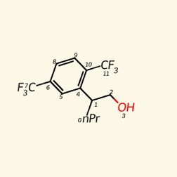 CCCC(CO)c1cc(C(F)(F)F)ccc1C(F)(F)F